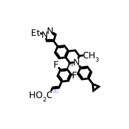 CCn1cc(-c2ccc3c(c2)CC(C)N(c2ccc(C4CC4)cc2)[C@H]3c2c(F)cc(/C=C/C(=O)O)cc2F)cn1